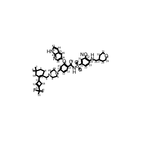 CC1(C)CCC(CN2CCN(c3ccc(C(=O)NS(=O)(=O)c4ccc(NCC5CCOCC5)c([N+](=O)[O-])c4)c(Oc4cnc5[nH]ccc5c4)c3)CC2)=C(C2C=C(C(C)(F)F)C2)C1